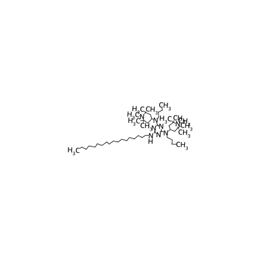 CCCCCCCCCCCCCCCCCCNc1nc(N(CCCC)C2CC(C)(C)N(C)C(C)(C)C2)nc(N(CCCC)C2CC(C)(C)N(C)C(C)(C)C2)n1